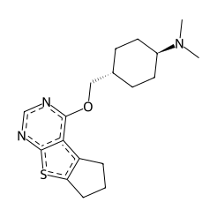 CN(C)[C@H]1CC[C@H](COc2ncnc3sc4c(c23)CCC4)CC1